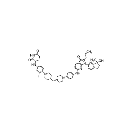 C=CCn1c(=O)c2cnc(Nc3ccc(N4CCN(CC5CCN(c6ccc(N[C@@H]7CCC(=O)NC7=O)cc6F)CC5)CC4)cc3)nc2n1-c1ccc2c(n1)[C@](C)(O)CC2